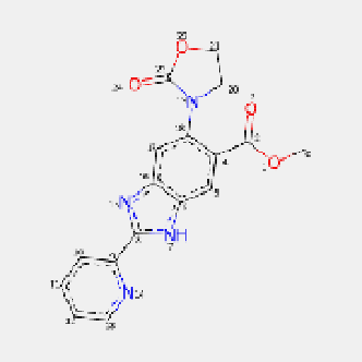 COC(=O)c1cc2[nH]c(-c3ccccn3)nc2cc1N1CCOC1=O